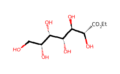 CCOC(=O)[C@H](O)[C@H](O)[C@H](O)[C@@H](O)[C@H](O)CO